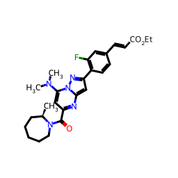 CCOC(=O)/C=C/c1ccc(-c2cc3nc(C(=O)N4CCCCC[C@H]4C)cc(N(C)C)n3n2)c(F)c1